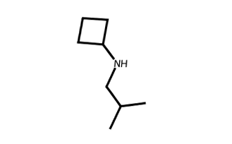 C[C](C)CNC1CCC1